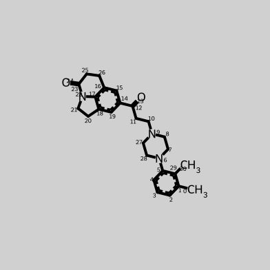 Cc1cccc(N2CCN(CCC(=O)c3cc4c5c(c3)CCN5C(=O)CC4)CC2)c1C